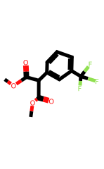 COC(=O)C(C(=O)OC)c1cccc(C(F)(F)F)c1